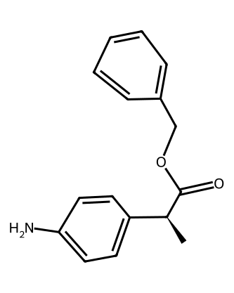 C[C@H](C(=O)OCc1ccccc1)c1ccc(N)cc1